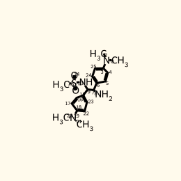 CN(C)c1ccc(C(N)C(NS(C)(=O)=O)c2ccc(N(C)C)cc2)cc1